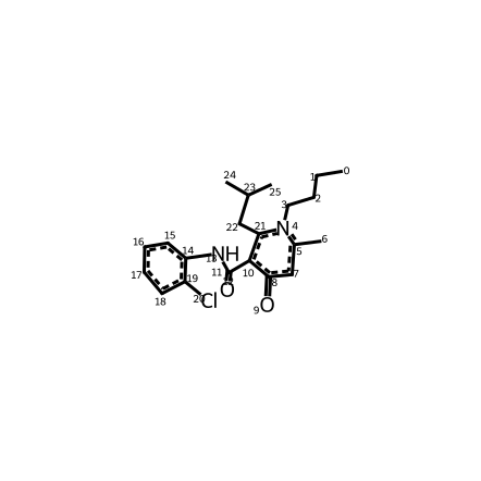 CCCCn1c(C)cc(=O)c(C(=O)Nc2ccccc2Cl)c1CC(C)C